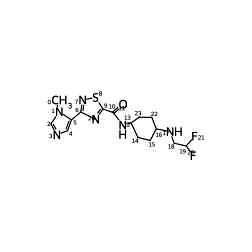 Cn1cncc1-c1nsc(C(=O)NC2CCC(NCC(F)F)CC2)n1